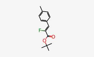 Cc1ccc(C=C(F)C(=O)OC(C)(C)C)cc1